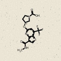 CNC(=O)c1csc2c(C(F)(F)F)cc(O[C@H]3CCN(C(=O)O)C3)nc12